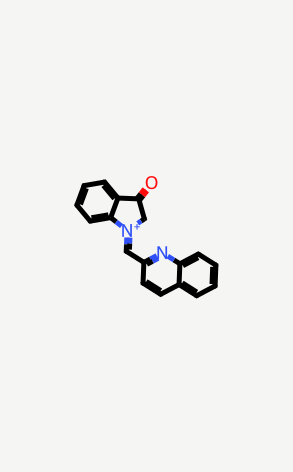 O=C1C[N+](=Cc2ccc3ccccc3n2)c2ccccc21